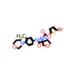 Cc1cc(NC(=O)C2(NC(=O)Oc3ccc(Br)s3)CCOC2)ccc1N1CCOCCC1=S